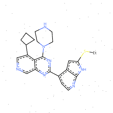 CCSc1cc2c(-c3nc(N4CCNCC4)c4c(C5CCC5)cncc4n3)ccnc2[nH]1